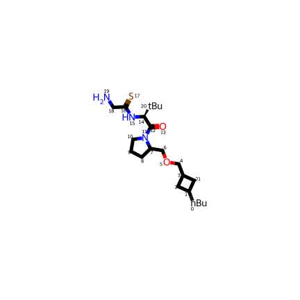 CCCCC1CC(COCC2CCCN2C(=O)[C@@H](NC(=S)CN)C(C)(C)C)C1